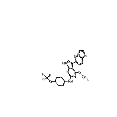 COc1nc(NC2CCC(OC(F)(F)F)CC2)nc2[nH]cc(-c3ccc4nccn4n3)c12